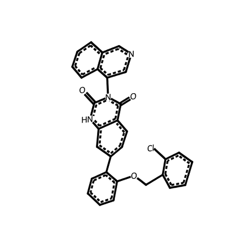 O=c1[nH]c2cc(-c3ccccc3OCc3ccccc3Cl)ccc2c(=O)n1-c1cncc2ccccc12